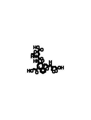 CC(=O)NC(CCC(=O)O)C(=O)N[C@H]1CN(C(=O)CO)c2ccccc2N(CC(=O)N[C@H](C=O)CC(=O)O)C1=O